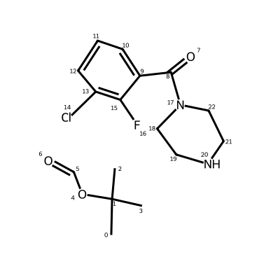 CC(C)(C)OC=O.O=C(c1cccc(Cl)c1F)N1CCNCC1